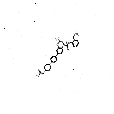 CCc1ccccc1NC(=O)N1CC(C)Oc2cc(-c3ccc([C@H]4CC[C@H](CC(=O)O)CC4)cc3)ccc21